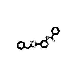 O=C(Nc1cc(-c2nc(Cc3ccccc3)no2)ccn1)c1ccccc1